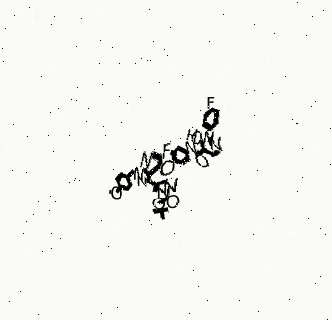 COc1ccc(Cn2nc(-c3cnn(C(=O)OC(C)(C)C)c3)c3c(Oc4ccc(NC(=O)c5ccnn(-c6ccc(F)cc6)c5=O)cc4F)ccnc32)cc1